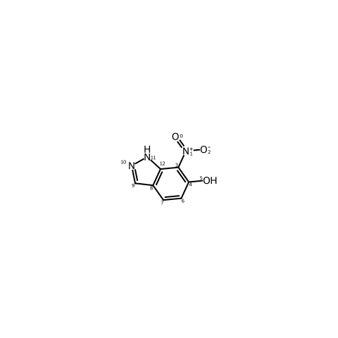 O=[N+]([O-])c1c(O)ccc2cn[nH]c12